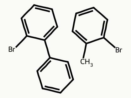 Brc1ccccc1-c1ccccc1.Cc1ccccc1Br